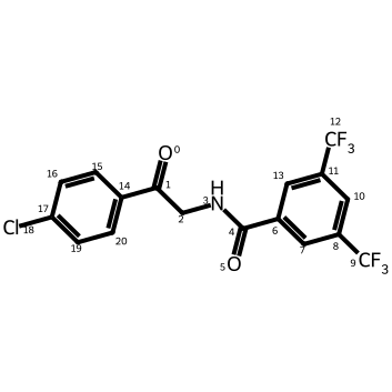 O=C(CNC(=O)c1cc(C(F)(F)F)cc(C(F)(F)F)c1)c1ccc(Cl)cc1